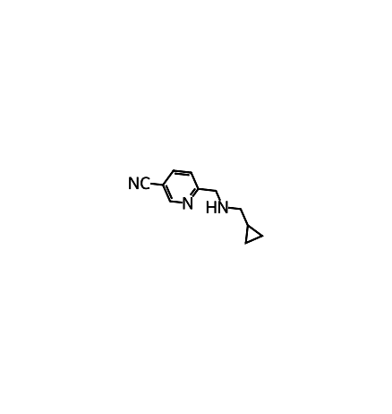 N#Cc1ccc(CNCC2CC2)nc1